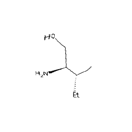 CC[C@@H](C)[C@@H](N)CO